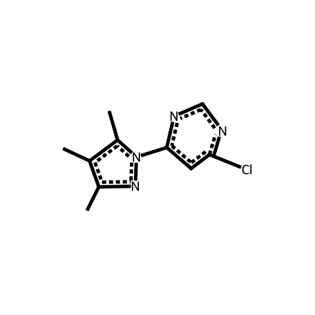 Cc1nn(-c2cc(Cl)ncn2)c(C)c1C